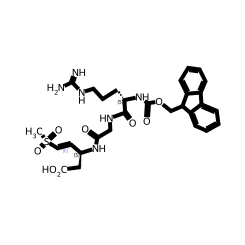 CS(=O)(=O)/C=C/[C@H](CC(=O)O)NC(=O)CNC(=O)[C@H](CCCNC(=N)N)NC(=O)OCC1c2ccccc2-c2ccccc21